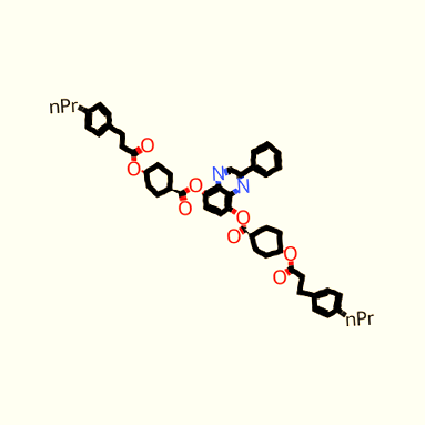 CCCc1ccc(CCC(=O)O[C@H]2CC[C@H](C(=O)Oc3ccc(OC(=O)[C@H]4CC[C@H](OC(=O)CCc5ccc(CCC)cc5)CC4)c4nc(-c5ccccc5)cnc34)CC2)cc1